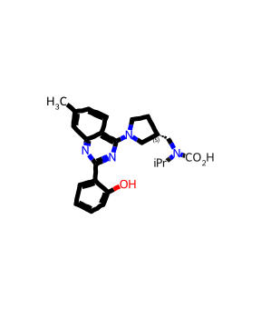 Cc1ccc2c(N3CC[C@H](CN(C(=O)O)C(C)C)C3)nc(-c3ccccc3O)nc2c1